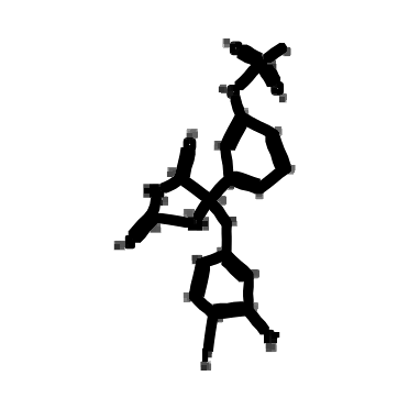 CS(=O)(=O)Oc1cccc(C2(Cc3ccc(F)c(Br)c3)NC(=S)NC2=O)c1